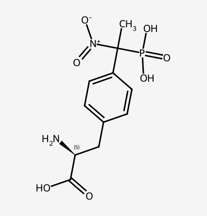 CC(c1ccc(C[C@H](N)C(=O)O)cc1)([N+](=O)[O-])P(=O)(O)O